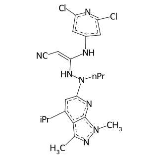 CCCN(N/C(=C\C#N)Nc1cc(Cl)nc(Cl)c1)c1cc(C(C)C)c2c(C)nn(C)c2n1